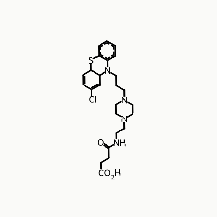 O=C(O)CCC(=O)NCCN1CCN(CCCN2c3ccccc3SC3C=CC(Cl)=CC32)CC1